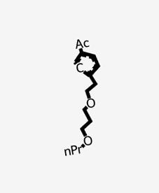 CCCOCCCOCCc1ccc(C(C)=O)cc1